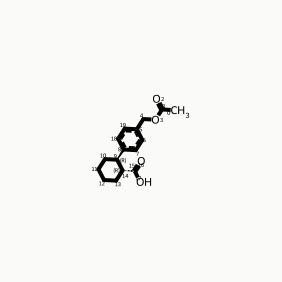 CC(=O)OCc1ccc([C@@H]2CCCC[C@H]2C(=O)O)cc1